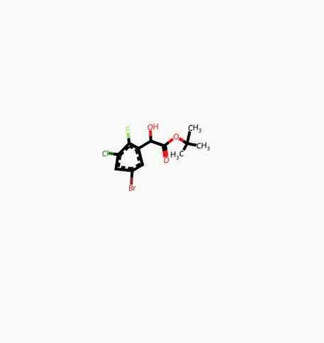 CC(C)(C)OC(=O)C(O)c1cc(Br)cc(Cl)c1F